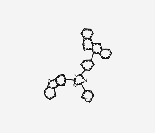 c1ccc(-c2nc(-c3ccc(-c4c5ccccc5cc5c4ccc4ccccc45)cc3)nc(-c3ccc4oc5ccccc5c4c3)n2)cc1